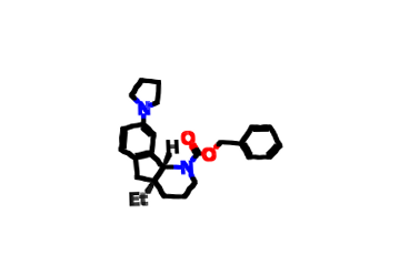 CC[C@]12CCCN(C(=O)OCc3ccccc3)[C@H]1c1cc(N3CCCC3)ccc1C2